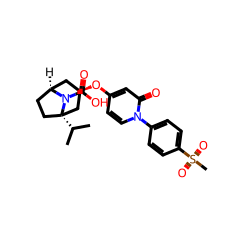 CC(C)[C@@]12CC[C@@H](C[C@@H](Oc3ccn(-c4ccc(S(C)(=O)=O)cc4)c(=O)c3)C1)N2C(=O)O